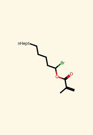 C=C(C)C(=O)OC(Br)CCCCCCCCCCC